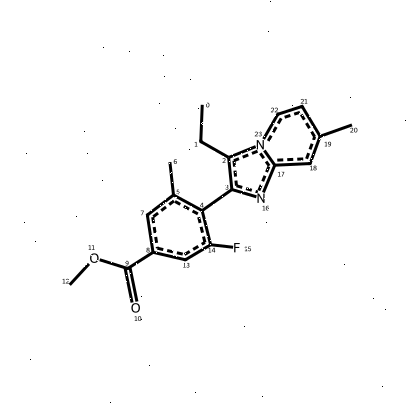 CCc1c(-c2c(C)cc(C(=O)OC)cc2F)nc2cc(C)ccn12